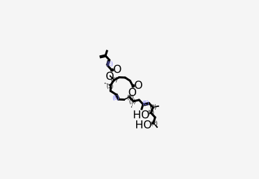 C=C(C)/C=C/C(=O)O[C@H]1CCCC(=O)O[C@@H]([C@@H](C)C/C(C)=C/[C@@H](C)[C@H](O)C[C@@H](C)O)C/C=C/C[C@@H]1C